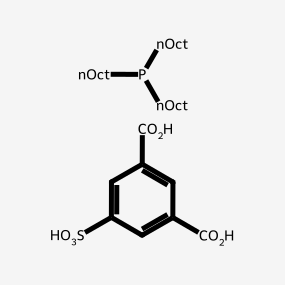 CCCCCCCCP(CCCCCCCC)CCCCCCCC.O=C(O)c1cc(C(=O)O)cc(S(=O)(=O)O)c1